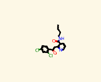 CCCCNC(=O)c1cccnc1CC(=O)c1ccc(Cl)cc1Cl